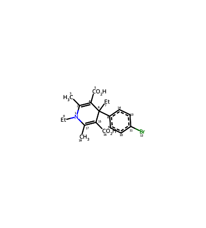 CCN1C(C)=C(C(=O)O)C(CC)(c2ccc(Br)cc2)C(C(=O)O)=C1C